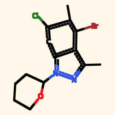 Cc1c(Cl)cc2c(c(C)nn2C2CCCCO2)c1Br